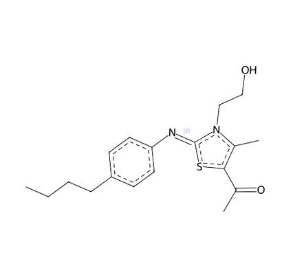 CCCCc1ccc(/N=c2\sc(C(C)=O)c(C)n2CCO)cc1